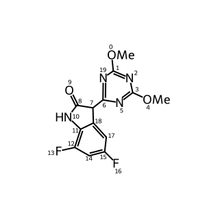 COc1nc(OC)nc(C2C(=O)Nc3c(F)cc(F)cc32)n1